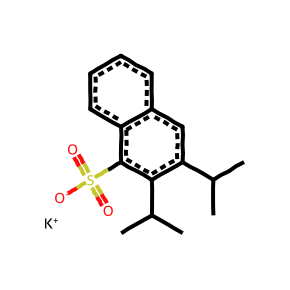 CC(C)c1cc2ccccc2c(S(=O)(=O)[O-])c1C(C)C.[K+]